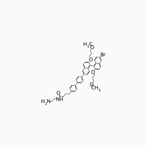 COCCCOc1ccc2cc(Br)ccc2c1-c1c(OCCCOC)ccc2cc(-c3ccc(-c4ccc(CCCC(=O)NCCN)cc4)cc3)ccc12